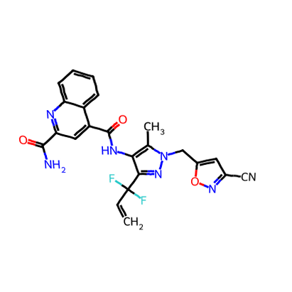 C=CC(F)(F)c1nn(Cc2cc(C#N)no2)c(C)c1NC(=O)c1cc(C(N)=O)nc2ccccc12